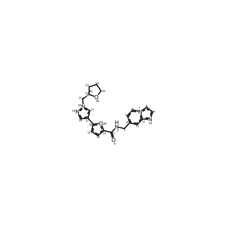 O=C(NCc1ccn2ccnc2c1)c1ccc(-c2cnn(C[C@H]3CCCO3)c2)o1